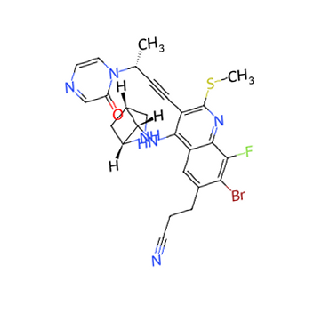 CSc1nc2c(F)c(Br)c(CCC#N)cc2c(N[C@H]2[C@H]3CN[C@@H]2C3)c1C#C[C@@H](C)n1ccncc1=O